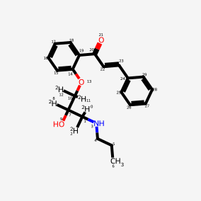 [2H]C([2H])(NCCC)C([2H])(O)C([2H])([2H])Oc1ccccc1C(=O)/C=C/c1ccccc1